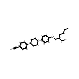 CCCCC(CC)COc1ccc([C@H]2CC[C@H](c3ccc(C#N)cc3)CC2)cc1